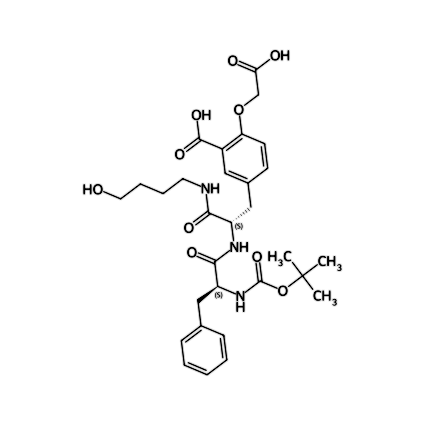 CC(C)(C)OC(=O)N[C@@H](Cc1ccccc1)C(=O)N[C@@H](Cc1ccc(OCC(=O)O)c(C(=O)O)c1)C(=O)NCCCCO